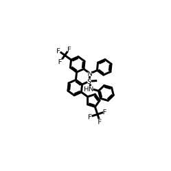 CS1(Nc2ccccc2)c2c(cccc2C2C=CC(C(F)(F)F)=C2)-c2cc(C(F)(F)F)ccc2N1c1ccccc1